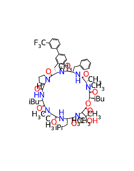 CCC(C)C1NC(=O)[C@@H]2CCCN2C(=O)[C@H](Cc2cccc(-c3cccc(C(F)(F)F)c3)c2)N(C)C(=O)C(Cc2ccccc2)NC(=O)[C@H](C)N(C)C(=O)[C@@H](C(C)CC)OC(=O)C(C(C)(C)O)N(C)C(=O)C(CC(C)C)NC(=O)[C@H](C)N(C)C1=O